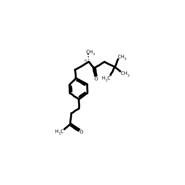 CC(=O)CCc1ccc(C[C@H](C)C(=O)CC(C)(C)C)cc1